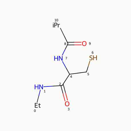 CCNC(=O)C(CS)NC(=O)C(C)C